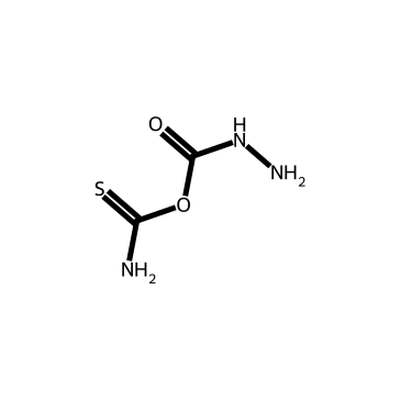 NNC(=O)OC(N)=S